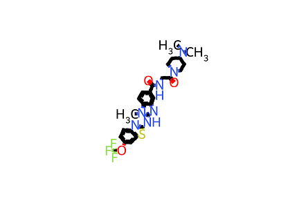 CN(C)C1CCN(C(=O)CNC(=O)c2ccc3c(c2)nc(Nc2nc4ccc(OC(F)(F)F)cc4s2)n3C)CC1